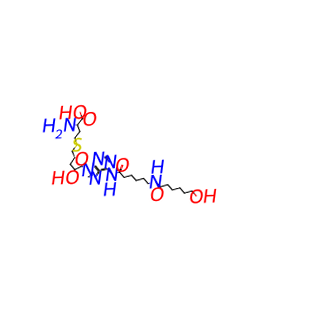 N[C@@H](CCSC[C@@H]1C[C@@H](O)[C@H](n2cnc3c(NC(=O)CCCCCNC(=O)CCCCCO)ncnc32)O1)C(=O)O